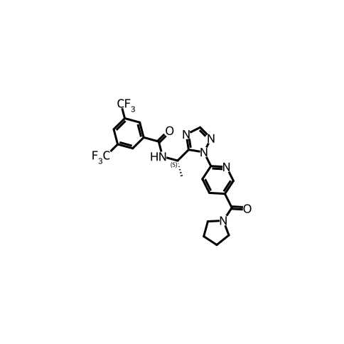 C[C@H](NC(=O)c1cc(C(F)(F)F)cc(C(F)(F)F)c1)c1ncnn1-c1ccc(C(=O)N2CCCC2)cn1